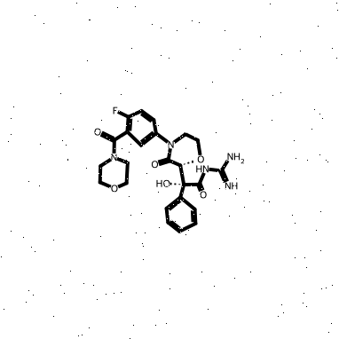 N=C(N)NC(=O)[C@@](O)(c1ccccc1)[C@H]1OCCN(c2ccc(F)c(C(=O)N3CCOCC3)c2)C1=O